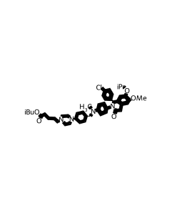 COc1cc2c(cc1OC(C)C)[C@H](c1ccc(Cl)cc1)N(c1ccc(N(C)C[C@H]3CC[C@H](N4CCN(CCCCC(=O)OCC(C)C)CC4)CC3)cc1)C(=O)C2